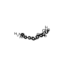 Nc1ccnc(Nc2ccc(C3CCN(c4ccc(CN5CCC(O)(c6ccc7c(c6)CN(C6CCC(=O)NC6=O)C7=O)CC5)cc4)CC3)cn2)n1